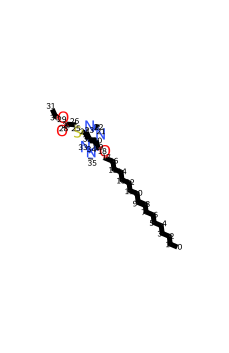 CCCCCCCCC=CCCCCCCCCOc1c2ncnc(SCC(=O)OCC)c2nn1C